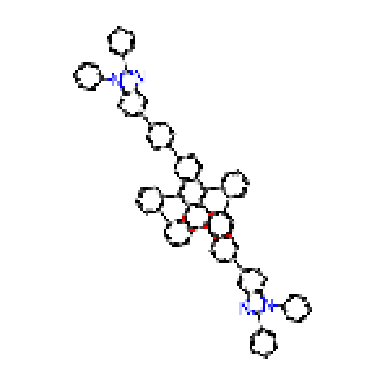 c1ccc(-c2ccccc2-c2c3ccc(-c4ccc(-c5ccc6c(c5)nc(-c5ccccc5)n6-c5ccccc5)cc4)cc3c(-c3ccccc3-c3ccccc3)c3ccc(-c4ccc(-c5ccc6c(c5)nc(-c5ccccc5)n6-c5ccccc5)cc4)cc23)cc1